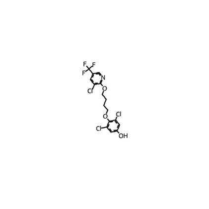 Oc1cc(Cl)c(OCCCCOc2ncc(C(F)(F)F)cc2Cl)c(Cl)c1